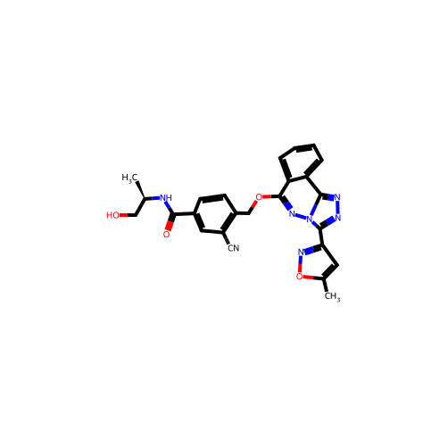 Cc1cc(-c2nnc3c4ccccc4c(OCc4ccc(C(=O)N[C@H](C)CO)cc4C#N)nn23)no1